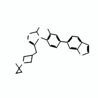 O=CC1NN=C(CC2CN(C3(C=O)CC3)C2)N1c1ccc(-c2ccc3cc[nH]c3c2)cc1F